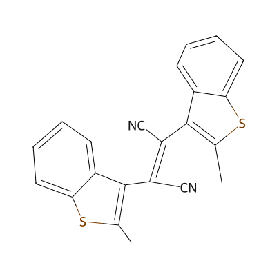 Cc1sc2ccccc2c1C(C#N)=C(C#N)c1c(C)sc2ccccc12